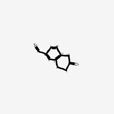 O=C1CCc2cc(C=S)ccc2C1